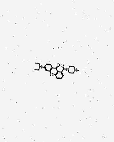 CCN(CC)c1ccc(C(=O)c2ccccc2C(=O)N2CCN(C)CC2)c(O)c1